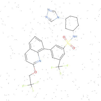 O=S(=O)(N[C@H]1CCC[C@@H](n2cnnc2)C1)c1cc(-c2cccc3ccc(OCC(F)(F)F)nc23)cc(C(F)(F)F)c1